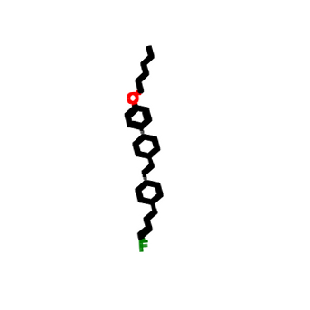 CCCCCCOc1ccc([C@H]2CC[C@H](CC[C@H]3CC[C@H](CC/C=C/F)CC3)CC2)cc1